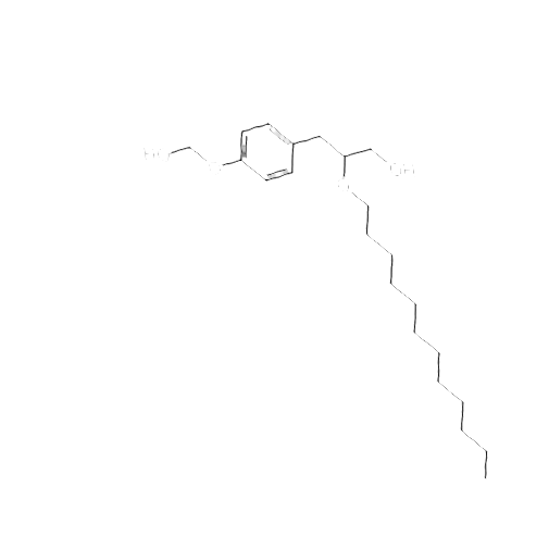 CCCCCCCCCCCCOC(CO)Cc1ccc(OCO)cc1